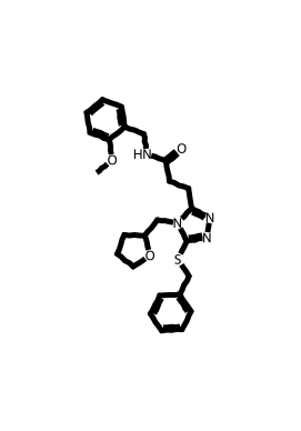 COc1ccccc1CNC(=O)CCc1nnc(SCc2ccccc2)n1CC1CCCO1